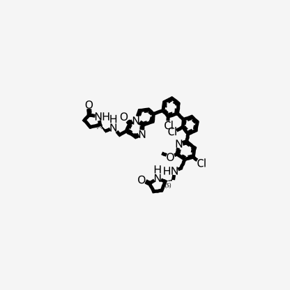 COc1nc(-c2cccc(-c3cccc(-c4ccn5c(=O)c(CNC[C@H]6CCC(=O)N6)cnc5c4)c3Cl)c2Cl)cc(Cl)c1CNC[C@@H]1CCC(=O)N1